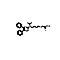 CC(C)N(CCCCOCC(=O)O)c1nnc(-c2ccccc2)c(-c2ccccc2)n1